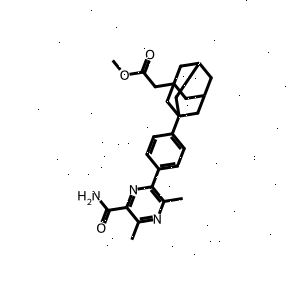 COC(=O)CC12CC3CC(C1)CC(c1ccc(-c4nc(C(N)=O)c(C)nc4C)cc1)(C3)C2